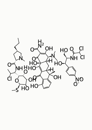 CCC[C@@H]1C[C@@H](C(=O)NC(C(C)Cl)[C@H]2O[C@H](SC)[C@H](O)[C@@H](O)[C@H]2O)N(C)C1.CN(C)[C@@H]1C(O)=C(C(N)=O)C(=O)[C@@]2(O)C(O)=C3C(=O)c4c(O)cccc4[C@@](C)(O)[C@H]3C[C@@H]12.O=C(N[C@H](CO)[C@H](O)c1ccc([N+](=O)[O-])cc1)C(Cl)Cl